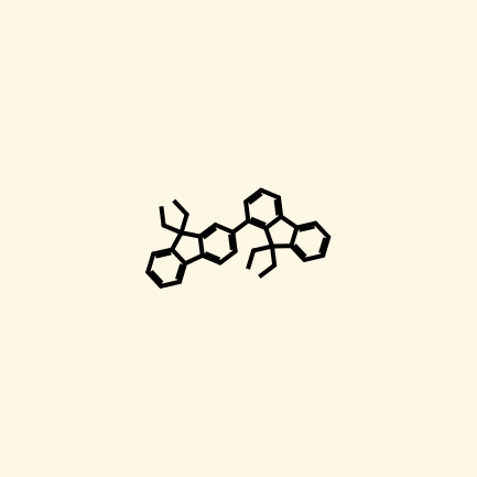 CCC1(CC)c2ccccc2-c2ccc(-c3cccc4c3C(CC)(CC)c3ccccc3-4)cc21